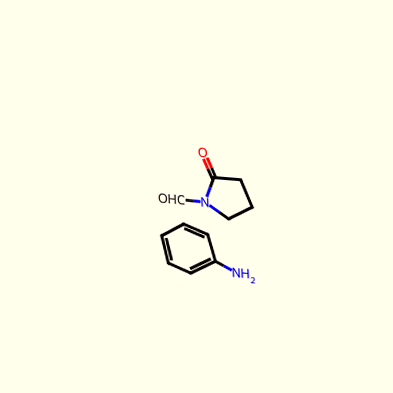 Nc1ccccc1.O=CN1CCCC1=O